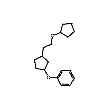 [c]1cccc(OC2CCC(CCOC3C[CH]CC3)C2)c1